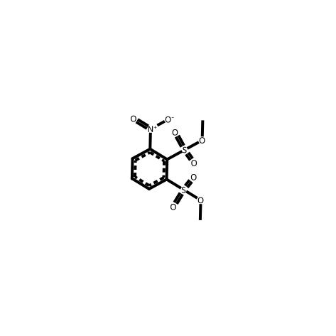 COS(=O)(=O)c1cccc([N+](=O)[O-])c1S(=O)(=O)OC